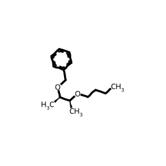 CCCCO[C@@H](C)[C@@H](C)OCc1ccccc1